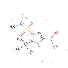 CC(O)c1cn(S(=O)(=O)N(C)C)c([Si](C)(C)C(C)(C)C)n1